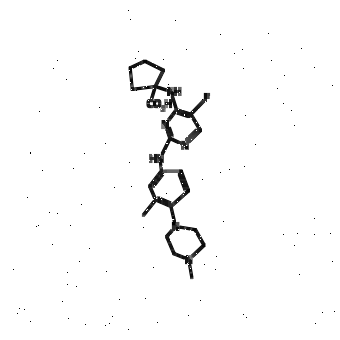 Cc1cc(Nc2ncc(F)c(NC3(C(=O)O)CCCC3)n2)ccc1N1CCN(C)CC1